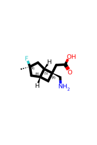 C[C@@]1(F)C[C@H]2C[C@@](CN)(CC(=O)O)[C@H]2C1